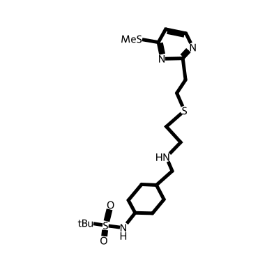 CSc1ccnc(CCSCCNCC2CCC(NS(=O)(=O)C(C)(C)C)CC2)n1